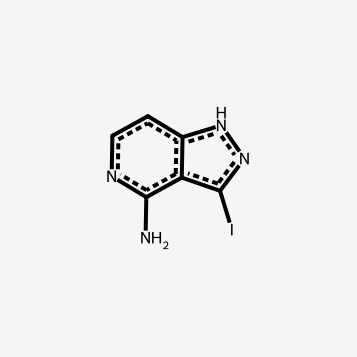 Nc1nccc2[nH]nc(I)c12